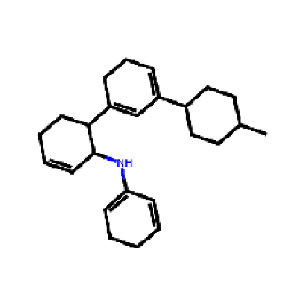 CC1CCC(C2=CCCC(C3CCC=CC3NC3=CCCC=C3)=C2)CC1